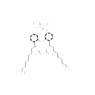 CCCCCCCCC(OCC)c1ccccc1Oc1ccccc1C(CCCCCCCC)OCC.O=P(O)(O)O